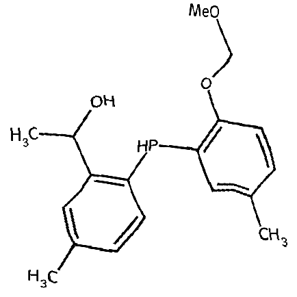 COCOc1ccc(C)cc1Pc1ccc(C)cc1C(C)O